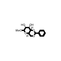 COC1O[C@@H]2COC(c3ccccc3)O[C@H]2[C@@H](O)[C@H]1O